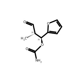 C[C@H](C=O)[C@H](OC(N)=O)c1ccco1